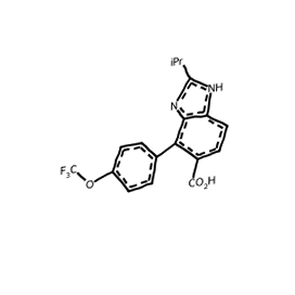 CC(C)c1nc2c(-c3ccc(OC(F)(F)F)cc3)c(C(=O)O)ccc2[nH]1